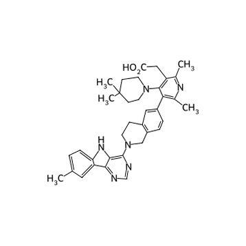 Cc1ccc2[nH]c3c(N4CCc5cc(-c6c(C)nc(C)c(CC(=O)O)c6N6CCC(C)(C)CC6)ccc5C4)ncnc3c2c1